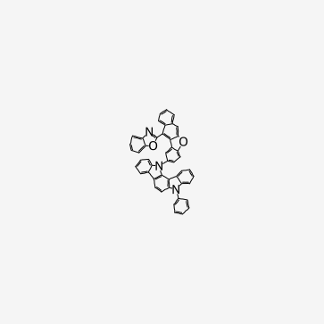 c1ccc(-n2c3ccccc3c3c2ccc2c4ccccc4n(-c4ccc5oc6cc7ccccc7c(-c7nc8ccccc8o7)c6c5c4)c23)cc1